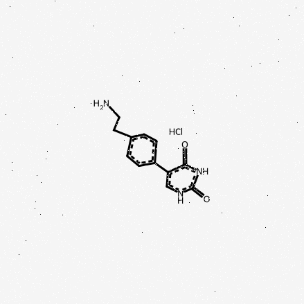 Cl.NCCc1ccc(-c2c[nH]c(=O)[nH]c2=O)cc1